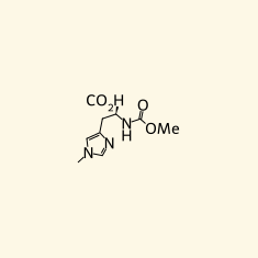 COC(=O)N[C@@H](Cc1cn(C)cn1)C(=O)O